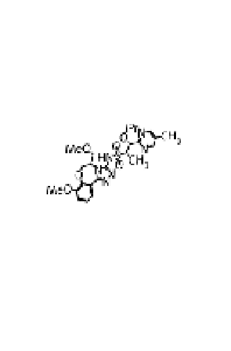 COC[C@@H]1COc2c(OC)cccc2-c2nnc(NS(=O)(=O)[C@@H](C)[C@@H](OC(C)C)c3ncc(C)cn3)n21